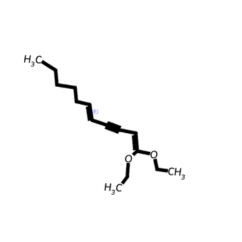 CCCCC/C=C/C#CC=C(OCC)OCC